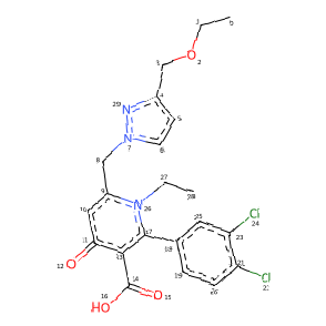 CCOCc1ccn(Cc2cc(=O)c(C(=O)O)c(-c3ccc(Cl)c(Cl)c3)n2CC)n1